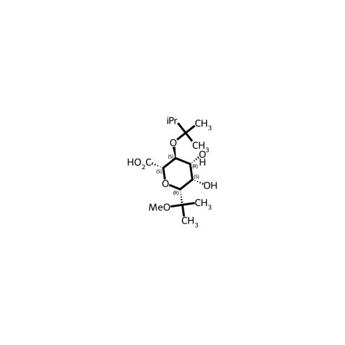 COC(C)(C)[C@@H]1O[C@H](C(=O)O)[C@@H](OC(C)(C)C(C)C)[C@H](O)[C@@H]1O